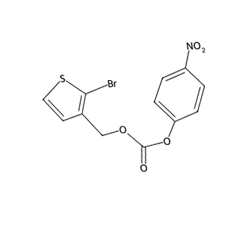 O=C(OCc1ccsc1Br)Oc1ccc([N+](=O)[O-])cc1